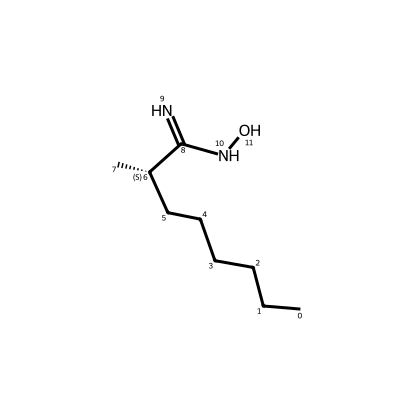 CCCCCC[C@H](C)C(=N)NO